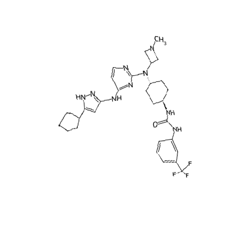 CN1CC(N(c2nccc(Nc3cc(C4CCCC4)[nH]n3)n2)[C@H]2CC[C@H](NC(=O)Nc3cccc(C(F)(F)F)c3)CC2)C1